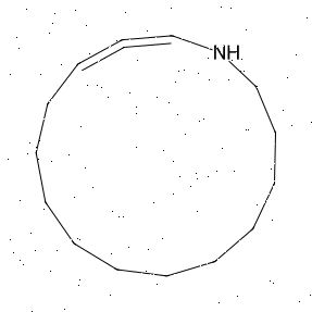 C1=CCCCCCCCCCCCNC=1